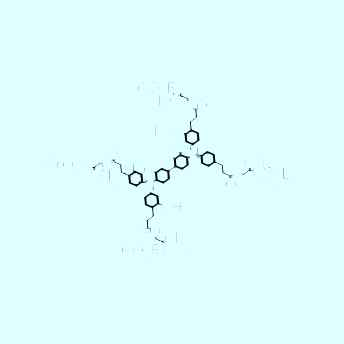 C=C(COC(=O)CCc1ccc(N(c2ccc(CCC(=O)OCC(=C)C(=O)OCC)c(C)c2)c2ccc(-c3ccc(N(c4ccc(CCC(=O)OCC(=C)C(=O)OCC)cc4)c4ccc(CCC(=O)OCC(=C)C(=O)OCC)c(C)c4)c(C)c3)cc2C)cc1)C(=O)OCC